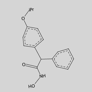 CC(C)Oc1ccc(C(C(=O)NO)c2ccccc2)cc1